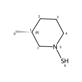 C[C@@H]1CCCN(S)C1